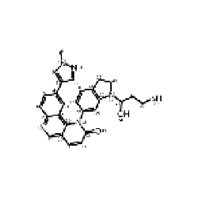 Cn1cc(-c2ccc3ncc4ccc(=O)n(-c5ccc6c(c5)N(C(O)CCS)CC6)c4c3c2)cn1